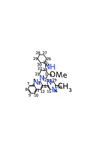 COC1CN(c2nc3ccccc3cc2-c2cnc(C)cn2)CCC1NC1CCCCC1